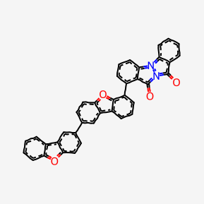 O=c1c2ccccc2n2c3cccc(-c4cccc5c4oc4ccc(-c6ccc7oc8ccccc8c7c6)cc45)c3c(=O)n12